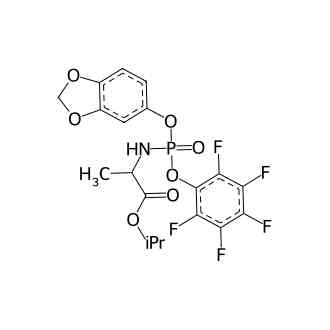 CC(C)OC(=O)C(C)NP(=O)(Oc1ccc2c(c1)OCO2)Oc1c(F)c(F)c(F)c(F)c1F